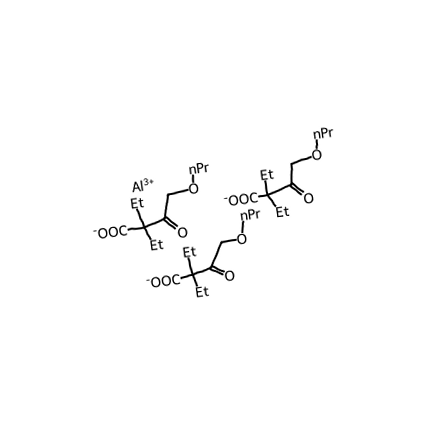 CCCOCC(=O)C(CC)(CC)C(=O)[O-].CCCOCC(=O)C(CC)(CC)C(=O)[O-].CCCOCC(=O)C(CC)(CC)C(=O)[O-].[Al+3]